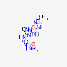 CC1CN=C(NC(=O)[C@@H]2CCCN2c2nc(Nc3cc(C(N)=O)[nH]n3)c3cccn3n2)S1